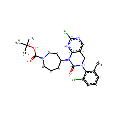 Cc1cccc(F)c1N1Cc2cnc(Cl)nc2N([C@H]2CCCN(C(=O)OC(C)(C)C)CC2)C1=O